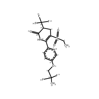 CCS(=O)(=O)C1=C(c2ccc(OCC(C)(F)F)cn2)NC(=O)C(C(F)(F)F)C1